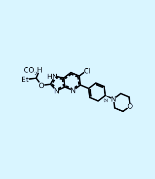 CCC(Oc1nc2nc(C3=CC[C@H](N4CCOCC4)C=C3)c(Cl)cc2[nH]1)C(=O)O